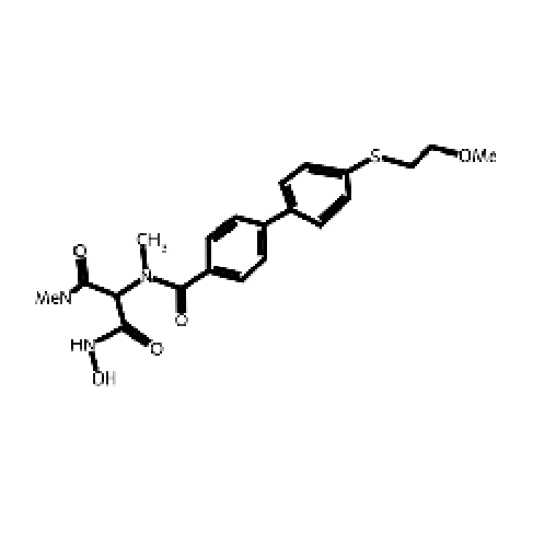 CNC(=O)C(C(=O)NO)N(C)C(=O)c1ccc(-c2ccc(SCCOC)cc2)cc1